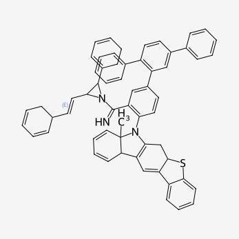 CC12C=CC=CC1C1=C(CC3Sc4ccccc4C3=C1)N2c1ccc(-c2cc(-c3ccccc3)ccc2-c2ccccc2)cc1C(=N)N1C(/C=C/C2C=CC=CC2)C1C1=CC=CCC1